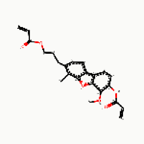 C=CC(=O)OCCCc1ccc2c(oc3c(OC)c(OC(=O)C=C)ccc32)c1C